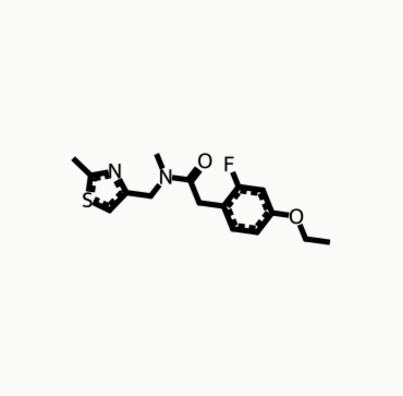 CCOc1ccc(CC(=O)N(C)Cc2csc(C)n2)c(F)c1